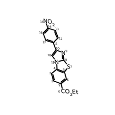 CCOC(=O)c1ccc2c(c1)sc1nc(-c3ccc([N+](=O)[O-])cc3)cn12